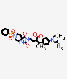 CCN(CC)c1ccc2c(c1)OC(=O)C(CCN1C(=O)NC3(CCN(S(=O)(=O)c4ccccc4)CC3)C1=O)C2C